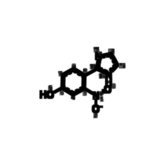 O=[N+]([O-])c1cc(O)ccc1-c1ncc[nH]1